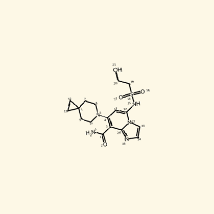 NC(=O)c1c(N2CCC3(CC2)CC3)cc(NS(=O)(=O)CCO)n2ccnc12